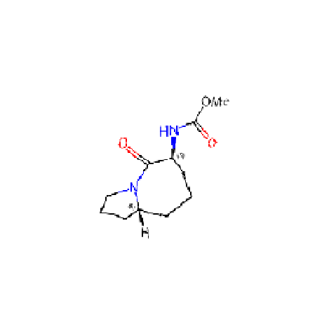 COC(=O)N[C@H]1CCC[C@@H]2CCCN2C1=O